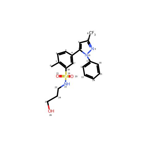 Cc1ccc(-c2cc(C(F)(F)F)nn2-c2ccccc2)cc1S(=O)(=O)NCCCO